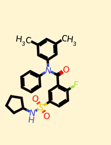 Cc1cc(C)cc(N(C(=O)c2cc(S(=O)(=O)NC3CCCC3)ccc2F)c2ccccc2)c1